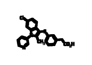 Cc1c(Sc2cccc(CC(=O)O)c2)c2ccc(Cl)cc2n1-c1cccnc1